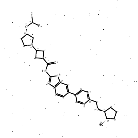 O=C(Nc1nc2ccc(-c3cnc(CO[C@H]4CCC[C@@H]4O)nc3)cc2s1)C1CC(N2CC[C@H](OC(F)F)C2)C1